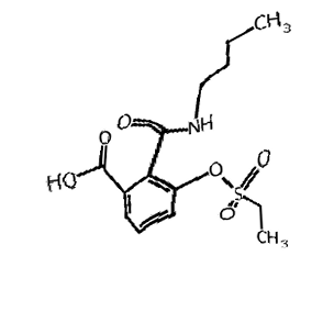 CCCCNC(=O)c1c(OS(=O)(=O)CC)cccc1C(=O)O